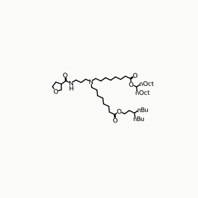 CCCCCCCCC(CCCCCCCC)OC(=O)CCCCCCCN(CCCCCCCC(=O)OCCC(CCCC)CCCC)CCCNC(=O)C1CCOC1